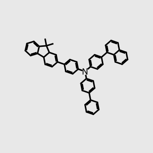 CC1(C)c2ccccc2C2C=CC(c3ccc(N(c4ccc(-c5ccccc5)cc4)c4ccc(-c5cccc6ccccc56)cc4)cc3)=CC21